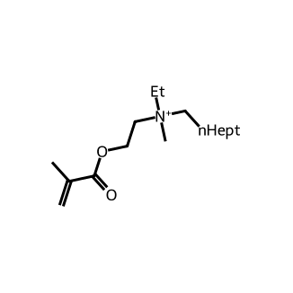 C=C(C)C(=O)OCC[N+](C)(CC)CCCCCCCC